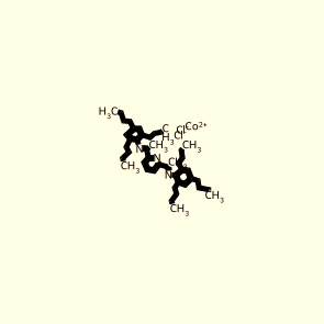 CCCCc1cc(CCCC)c(N=C(C)c2cccc(C(C)=Nc3c(CCCC)cc(CCCC)cc3CCCC)n2)c(CCCC)c1.[Cl-].[Cl-].[Co+2]